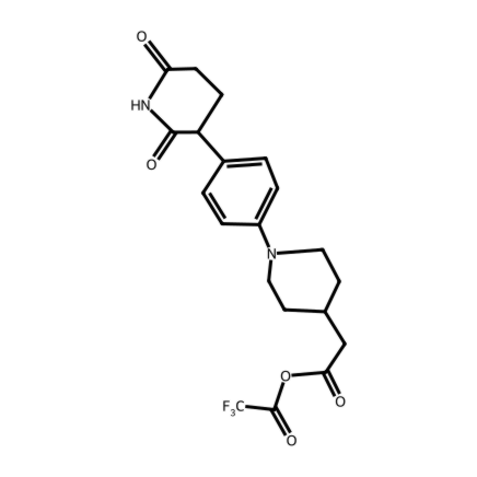 O=C1CCC(c2ccc(N3CCC(CC(=O)OC(=O)C(F)(F)F)CC3)cc2)C(=O)N1